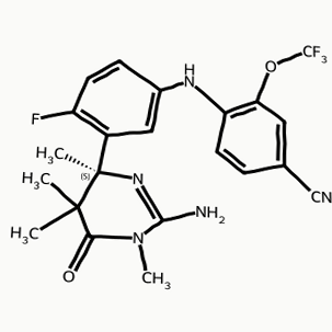 CN1C(=O)C(C)(C)[C@@](C)(c2cc(Nc3ccc(C#N)cc3OC(F)(F)F)ccc2F)N=C1N